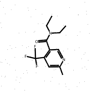 CCN(CC)C(=O)c1cnc(C)cc1C(F)(F)F